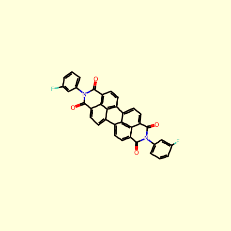 O=C1c2ccc3c4ccc5c6c(ccc(c7ccc(c2c37)C(=O)N1c1cccc(F)c1)c64)C(=O)N(c1cccc(F)c1)C5=O